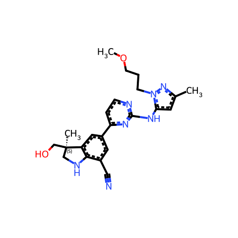 COCCCn1nc(C)cc1Nc1nccc(-c2cc(C#N)c3c(c2)[C@](C)(CO)CN3)n1